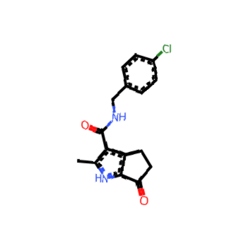 Cc1[nH]c2c(c1C(=O)NCc1ccc(Cl)cc1)CCC2=O